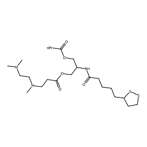 CCCC(=O)OCC(COC(=O)CCN(C)CCN(C)C)NC(=O)CCCCC1CCSS1